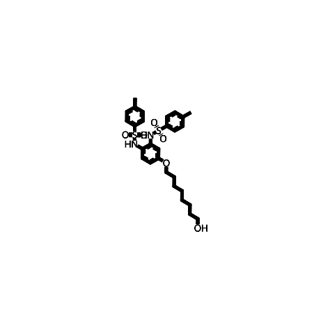 Cc1ccc(S(=O)(=O)Nc2ccc(OCCCCCCCCO)cc2NS(=O)(=O)c2ccc(C)cc2)cc1